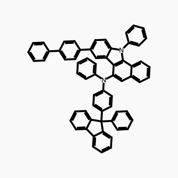 c1ccc(-c2ccc(-c3ccc4c(c3)c3c(N(c5ccccc5)c5ccc(C6(c7ccccc7)c7ccccc7-c7ccccc76)cc5)cc5ccccc5c3n4-c3ccccc3)cc2)cc1